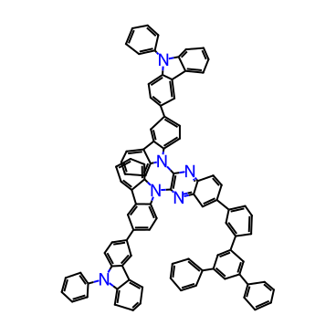 c1ccc(-c2cc(-c3ccccc3)cc(-c3cccc(-c4ccc5nc(-n6c7ccccc7c7cc(-c8ccc9c(c8)c8ccccc8n9-c8ccccc8)ccc76)c(-n6c7ccccc7c7cc(-c8ccc9c(c8)c8ccccc8n9-c8ccccc8)ccc76)nc5c4)c3)c2)cc1